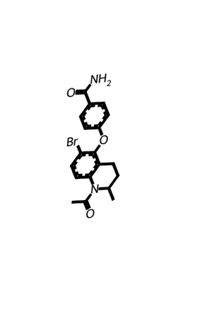 CC(=O)N1c2ccc(Br)c(Oc3ccc(C(N)=O)cc3)c2CCC1C